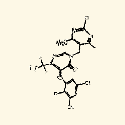 COc1nc(Cl)nc(C)c1Cn1cnc(C(F)(F)C(F)(F)F)c(Oc2cc(Cl)cc(C#N)c2F)c1=O